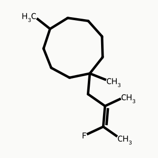 C/C(F)=C(\C)CC1(C)CCCCC(C)CCC1